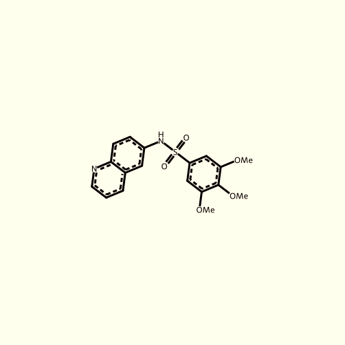 COc1cc(S(=O)(=O)Nc2ccc3ncccc3c2)cc(OC)c1OC